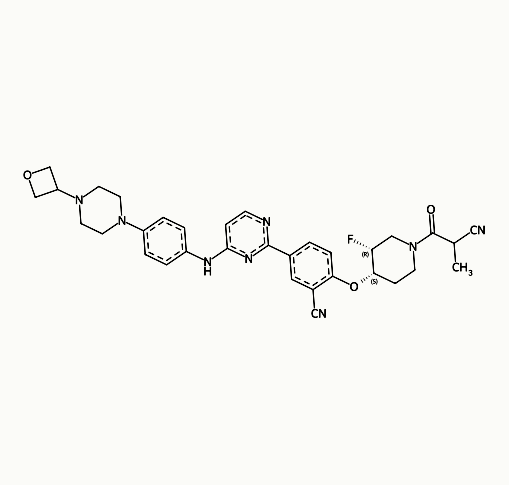 CC(C#N)C(=O)N1CC[C@H](Oc2ccc(-c3nccc(Nc4ccc(N5CCN(C6COC6)CC5)cc4)n3)cc2C#N)[C@H](F)C1